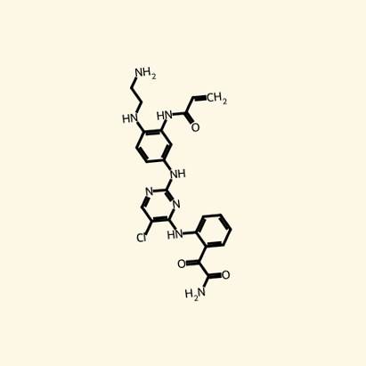 C=CC(=O)Nc1cc(Nc2ncc(Cl)c(Nc3ccccc3C(=O)C(N)=O)n2)ccc1NCCN